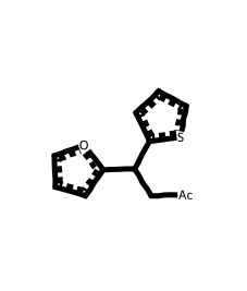 CC(=O)CC(c1ccco1)c1cccs1